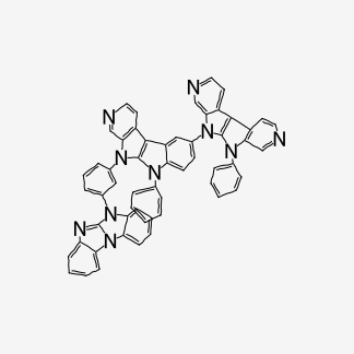 c1ccc(-n2c3ccc(-n4c5cnccc5c5c6ccncc6n(-c6ccccc6)c54)cc3c3c4ccncc4n(-c4cccc(-n5c6ccccc6n6c7ccccc7nc56)c4)c32)cc1